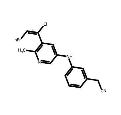 CCC/C=C(/Cl)c1cc(Nc2cccc(CC#N)c2)cnc1C